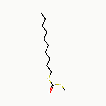 CCCCCCCCCCSC(=O)SC